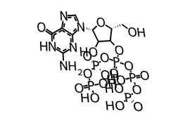 Nc1nc2c(ncn2[C@@H]2O[C@H](CO)C(OP(=O)(OP(=O)(O)OP(=O)(O)O)OP(=O)(O)OP(=O)(O)O)C2O)c(=O)[nH]1